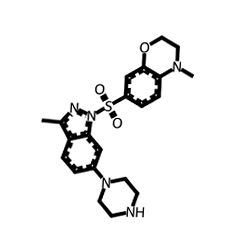 Cc1nn(S(=O)(=O)c2ccc3c(c2)OCCN3C)c2cc(N3CCNCC3)ccc12